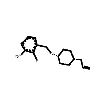 C=CC[C@H]1CC[C@H](CCc2cccc(C#N)c2F)CC1